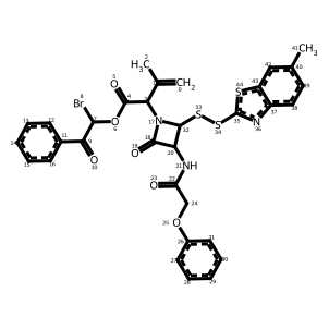 C=C(C)C(C(=O)OC(Br)C(=O)c1ccccc1)N1C(=O)C(NC(=O)COc2ccccc2)C1SSc1nc2ccc(C)cc2s1